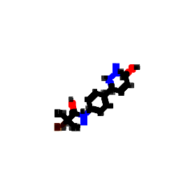 CCC(Br)(CC)C(=O)Nc1ccc(-c2ccc(=O)[nH]n2)cc1